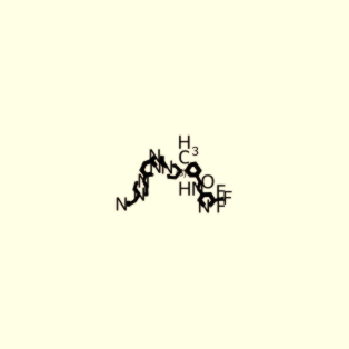 Cc1ccc(C(=O)Nc2cncc(C(F)(F)F)c2)cc1[C@@H]1CCN(c2cnc3ccc(N4CCN(CC#N)CC4)cn23)C1